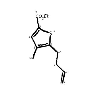 C=CCCc1sc(C(=O)OCC)cc1C